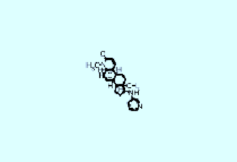 CN1C(=O)C=C[C@]2(C)[C@H]3CC[C@]4(C)[C@@H](Nc5cccnc5)CC[C@H]4[C@@H]3CC[C@@H]12